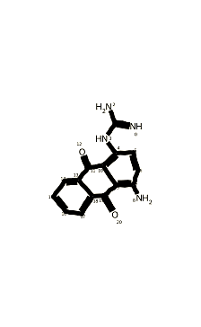 N=C(N)Nc1ccc(N)c2c1C(=O)c1ccccc1C2=O